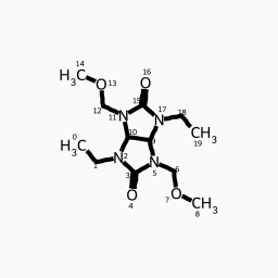 CCN1C(=O)N(COC)C2C1N(COC)C(=O)N2CC